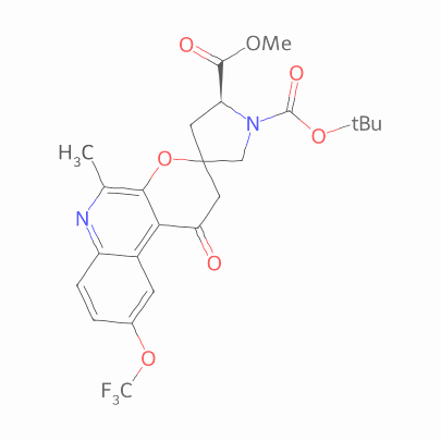 COC(=O)[C@@H]1CC2(CC(=O)c3c(c(C)nc4ccc(OC(F)(F)F)cc34)O2)CN1C(=O)OC(C)(C)C